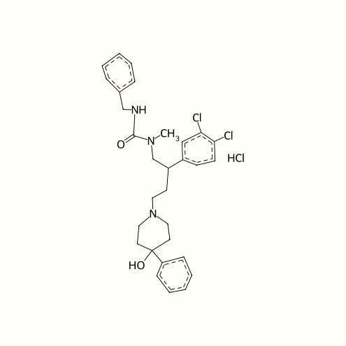 CN(CC(CCN1CCC(O)(c2ccccc2)CC1)c1ccc(Cl)c(Cl)c1)C(=O)NCc1ccccc1.Cl